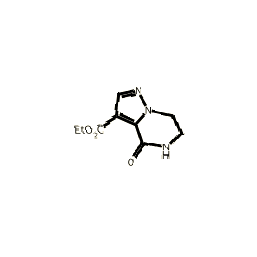 CCOC(=O)c1cnn2c1C(=O)NCC2